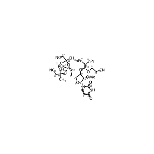 B[PH](OC[C@H]1O[C@@H](n2ccc(=O)[nH]c2=O)[C@@H](OC)C1OP(OCCC#N)N(CCC)CCC)(OC(C)(C)CC#N)OC(C)(C)CC#N